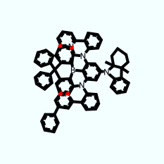 CC12CCCCC1(C)N(c1cc3c4c(c1)N(c1ccccc1-c1cc(-c5ccccc5)ccn1)c1cccc5c1B4c1c(cccc1C5(c1ccccc1)c1ccccc1)N3c1ccccc1-c1ccccn1)c1ccccc12